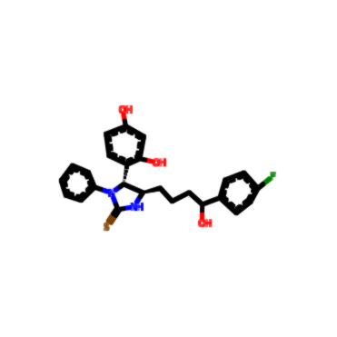 Oc1ccc([C@@H]2[C@@H](CCCC(O)c3ccc(F)cc3)NC(=S)N2c2ccccc2)c(O)c1